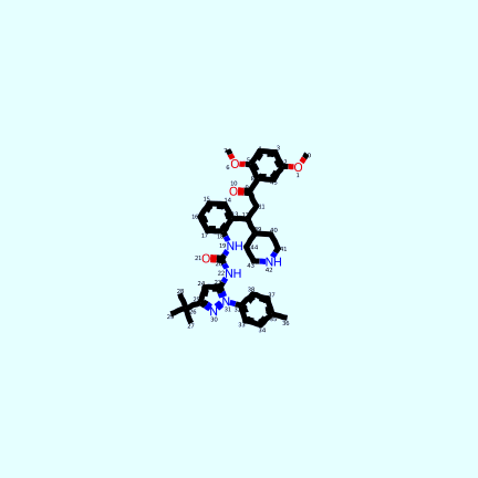 COc1ccc(OC)c(C(=O)CC(c2ccccc2NC(=O)Nc2cc(C(C)(C)C)nn2-c2ccc(C)cc2)C2CCNCC2)c1